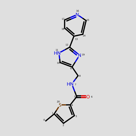 Cc1ccc(C(=O)NCc2c[nH]c(-c3ccncc3)n2)s1